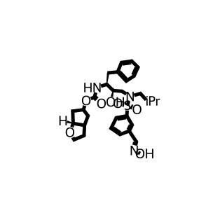 CC(C)CN(C[C@@H](O)[C@H](Cc1ccccc1)NC(=O)OC1CC2CCO[C@@H]2C1)S(=O)(=O)c1cccc(/C=N/O)c1